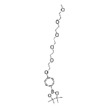 COCCOCCOCCOCCOCCOc1ccc(B2OC(C)(C)C(C)(C)O2)cc1